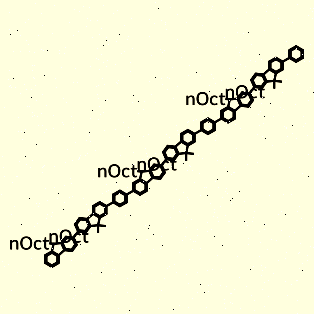 CCCCCCCCC1(CCCCCCCC)c2ccccc2-c2ccc(-c3ccc4c(c3)C(C)(C)c3cc(-c5ccc(-c6ccc7c(c6)C(CCCCCCCC)(CCCCCCCC)c6cc(-c8ccc9c(c8)C(C)(C)c8cc(-c%10ccc(-c%11ccc%12c(c%11)C(CCCCCCCC)(CCCCCCCC)c%11cc(-c%13ccc%14c(c%13)C(C)(C)c%13cc(-c%15ccccc%15)ccc%13-%14)ccc%11-%12)cc%10)ccc8-9)ccc6-7)cc5)ccc3-4)cc21